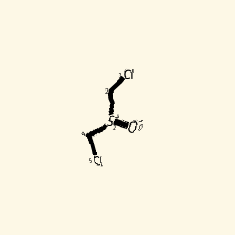 [O-][S+](CCl)CCl